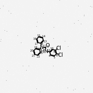 O=C(Nc1ccc(Cl)c(Cl)c1)N(c1ccccc1)c1ccccc1